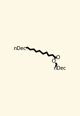 CCCCCCCCCCCCCCCCCCCC(=O)OCCCCCCCCCCC